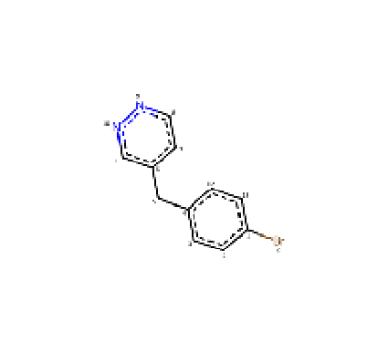 Brc1ccc(Cc2ccnnc2)cc1